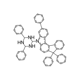 c1ccc(-c2ccc3c4c5c(ccc4n(C4NC(c6ccccc6)NC(c6ccccc6)N4)c3c2)C(c2ccccc2)(c2ccccc2)c2ccccc2-5)cc1